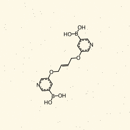 OB(O)c1cncc(OCC=CCOc2cncc(B(O)O)c2)c1